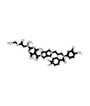 CCOC(=O)CN(C)c1nc(C)c(C(=O)N2CC3CN(CCCN(C(=O)C4CCC(F)(F)CC4)c4ccc(C)c(Cl)c4)CC3C2)c(C)n1